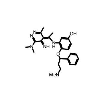 CNCCC(Oc1ccc(O)cc1N/C(C)=C1\C(=N)C(N(C)C)=NN=C1C)c1ccccc1